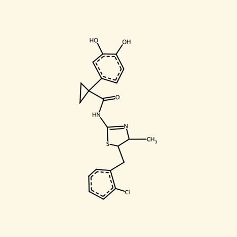 CC1N=C(NC(=O)C2(c3ccc(O)c(O)c3)CC2)SC1Cc1ccccc1Cl